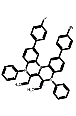 C=CC1=C2B(c3cc(-c4ccc(C(C)C)cc4)ccc3N1c1ccccc1)c1cc(-c3ccc(C(C)C)cc3)ccc1N(c1ccccc1)/C2=C/C